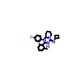 Cc1cccc(C)c1/C(=N\c1ccc(F)cc1)N/C(=N/C1CCC1)N1CCCCC1C